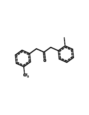 Cc1ccccc1CC(=O)Cc1cccc(C(F)(F)F)c1